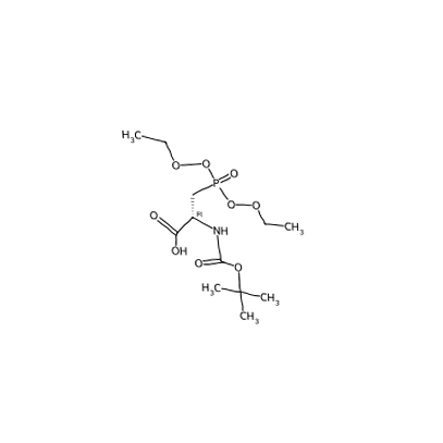 CCOOP(=O)(C[C@H](NC(=O)OC(C)(C)C)C(=O)O)OOCC